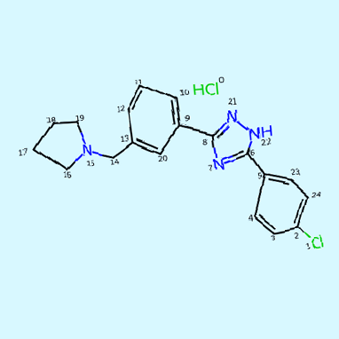 Cl.Clc1ccc(-c2nc(-c3cccc(CN4CCCC4)c3)n[nH]2)cc1